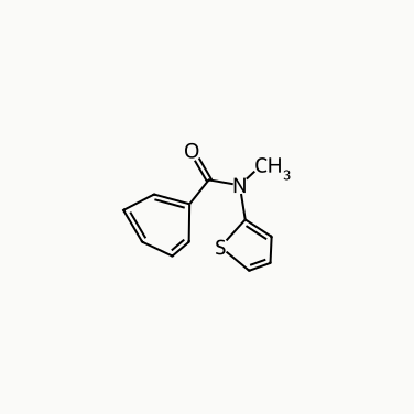 CN(C(=O)c1ccccc1)c1cccs1